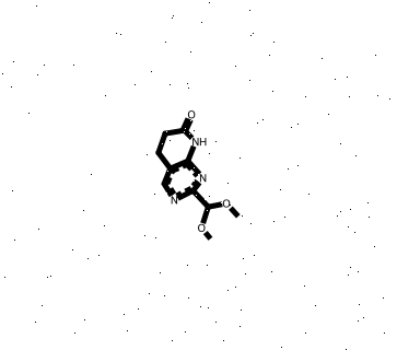 COC(OC)c1ncc2c(n1)NC(=O)CC2